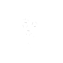 Cc1nc2cc(F)c(-c3ccc(C4(O)CCN(C)CC4)nc3)cc2n1Cc1ccccc1OC(F)F